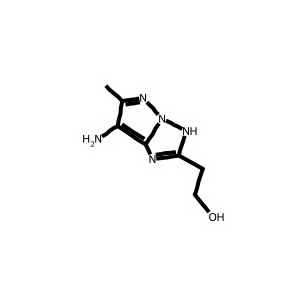 Cc1nn2[nH]c(CCO)nc2c1N